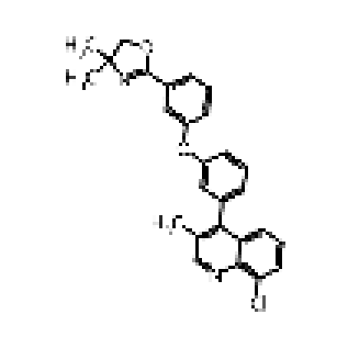 Cc1cnc2c(Cl)cccc2c1-c1cccc(Oc2cccc(C3=NC(C)(C)CO3)c2)c1